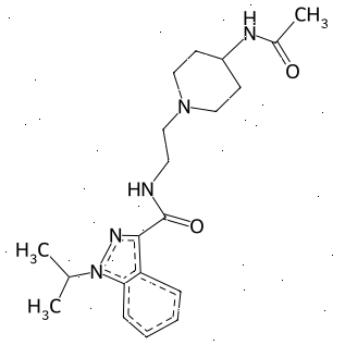 CC(=O)NC1CCN(CCNC(=O)c2nn(C(C)C)c3ccccc23)CC1